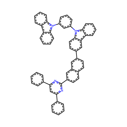 c1ccc(-c2cc(-c3ccccc3)nc(-c3ccc4ccc(-c5ccc6c(c5)c5ccccc5n6-c5cccc(-n6c7ccccc7c7ccccc76)c5)cc4c3)n2)cc1